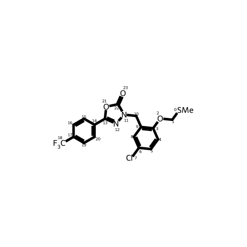 CSCOc1ccc(Cl)cc1Cn1nc(-c2ccc(C(F)(F)F)cc2)oc1=O